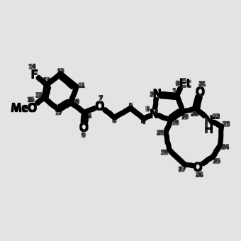 CCc1nn(CCCOC(=O)c2ccc(F)c(OC)c2)c2c1C(=O)NCCCOCCC2